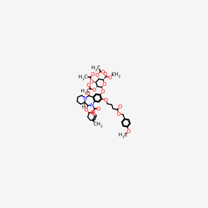 C=CCOC(=O)N1c2cc(OCCCC(=O)OCc3ccc(OC)cc3)c(O[C@@H]3O[C@H](C(=O)OC)[C@@H](OC(C)=O)[C@H](OC(C)=O)[C@H]3OC(C)=O)cc2C(=O)N2CCCC[C@H]2C1OC1CCCCO1